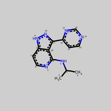 CC(C)Nc1nccc2[nH]nc(-c3ccncn3)c12